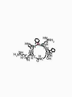 CC(=O)N[C@H](CCCNC(=N)N)C(=O)N[C@H]1CCC(=O)NCCC[C@@H](C(=O)O)NC(=O)[C@H](Cc2c[nH]c3ccccc23)NC(=O)[C@H](CCCNC(=N)N)NC(=O)[C@@H](Cc2ccccc2)NC(=O)[C@H](Cc2c[nH]cn2)NC1=O